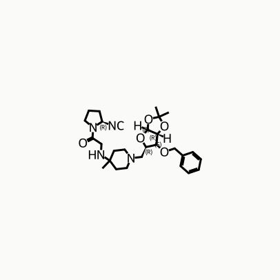 [C-]#[N+][C@@H]1CCCN1C(=O)CNC1(C)CCN(C[C@H]2O[C@@H]3OC(C)(C)O[C@@H]3[C@H]2OCc2ccccc2)CC1